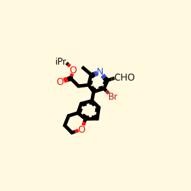 Cc1nc(C=O)c(Br)c(-c2ccc3c(c2)CCCO3)c1CC(=O)OC(C)C